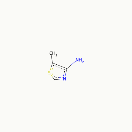 [CH2]c1scnc1N